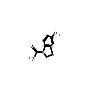 CC(=O)N1CCc2cc(C)ccc21